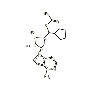 CC(C)C(=O)OC(C1CCCC1)[C@H]1O[C@@H](n2cnc3c(N)ncnc32)[C@H](O)[C@@H]1O